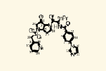 CCCC(NC(=O)c1ccc(-n2ccnc2)cc1)C(=O)N1CCC2C1C(=O)CN2S(=O)(=O)Cc1cccnc1